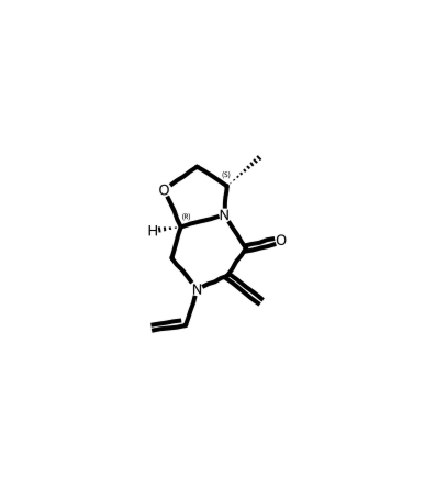 C=CN1C[C@H]2OC[C@H](C)N2C(=O)C1=C